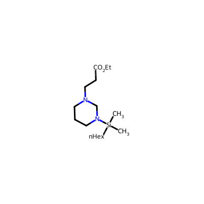 CCCCCC[Si](C)(C)N1CCCN(CCC(=O)OCC)C1